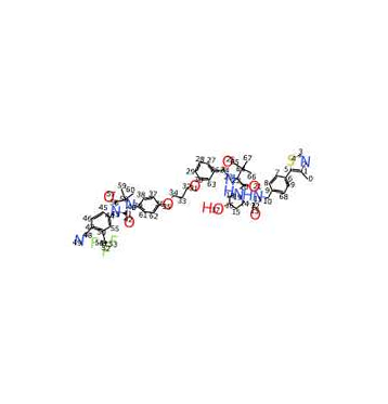 Cc1ncsc1-c1ccc(CNC(=O)[C@@H]2C[C@@H](O)CN2C(=O)[C@@H](NC(=O)c2cccc(OCCCOc3ccc(N4C(=O)N(c5ccc(C#N)c(C(F)(F)F)c5)C(=O)C4(C)C)cc3)c2)C(C)(C)C)cc1